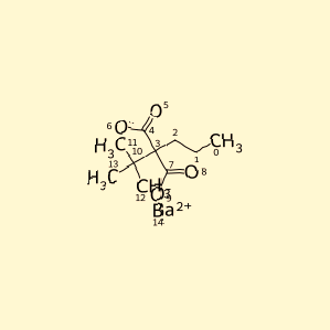 CCCC(C(=O)[O-])(C(=O)[O-])C(C)(C)C.[Ba+2]